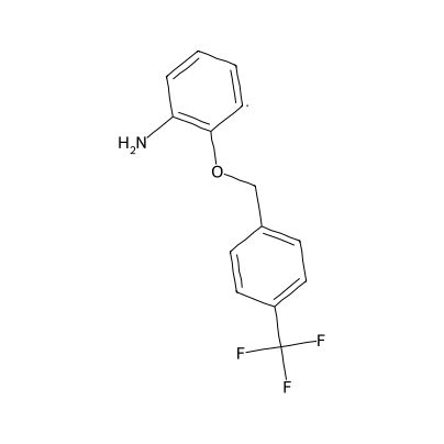 Nc1ccc[c]c1OCc1ccc(C(F)(F)F)cc1